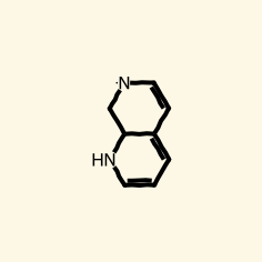 C1=CNC2C[N]C=CC2=C1